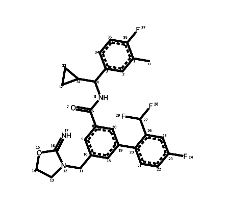 Cc1cc(C(NC(=O)c2cc(CN3CCOC3=N)cc(-c3ccc(F)cc3C(F)F)c2)C2CC2)ccc1F